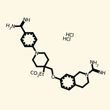 CCOC(=O)C1(COc2ccc3c(c2)CN(C(=N)N)CC3)CCN(c2ccc(C(=N)N)cc2)CC1.Cl.Cl